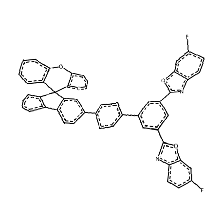 Fc1ccc2nc(-c3cc(-c4ccc(-c5ccc6c(c5)C5(c7ccccc7Oc7ccccc75)c5ccccc5-6)cc4)cc(-c4nc5ccc(F)cc5o4)c3)oc2c1